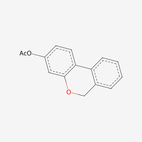 CC(=O)Oc1ccc2c(c1)OCc1ccccc1-2